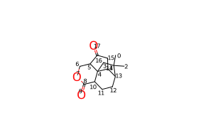 CC1(C)CC23C4COC(=O)C2CCC1C3CC4=O